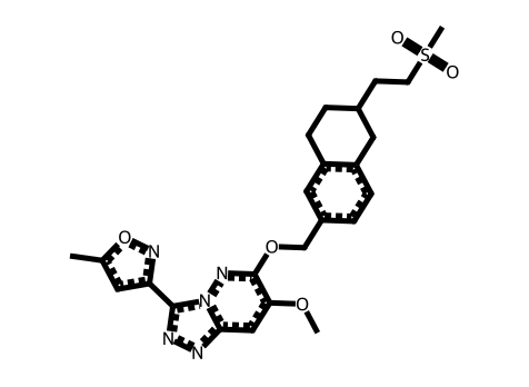 COc1cc2nnc(-c3cc(C)on3)n2nc1OCc1ccc2c(c1)CCC(CCS(C)(=O)=O)C2